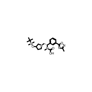 Cc1noc(-c2cccc([C@@H](CN3CCC(O[Si](C)(C)C(C)(C)C)C3)N(C)C(=O)O)c2)n1